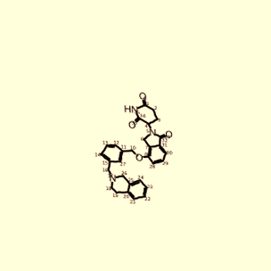 O=C1CCC(N2Cc3c(OCc4cccc(CN5CCc6ccccc6C5)c4)cccc3C2=O)C(=O)N1